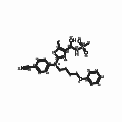 Cc1sc(N(CCCCOc2ccccc2)c2ccc(C#N)cc2)nc1C(O)NS(C)(=O)=O